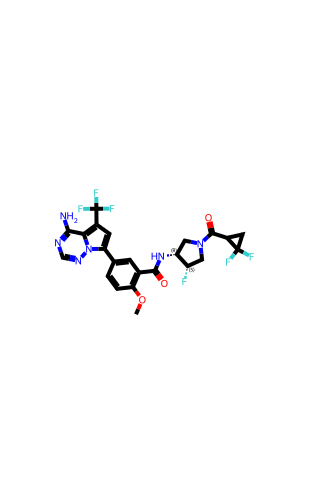 COc1ccc(-c2cc(C(F)(F)F)c3c(N)ncnn23)cc1C(=O)N[C@@H]1CN(C(=O)C2CC2(F)F)C[C@@H]1F